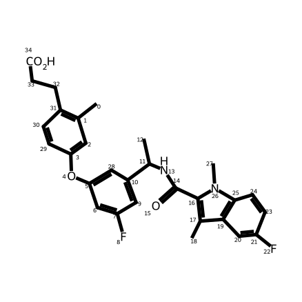 Cc1cc(Oc2cc(F)cc(C(C)NC(=O)c3c(C)c4cc(F)ccc4n3C)c2)ccc1CCC(=O)O